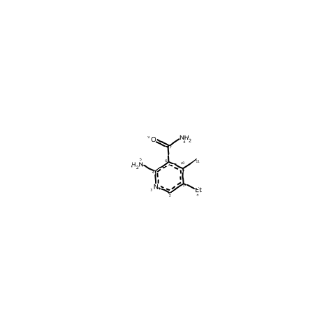 CCc1cnc(N)c(C(N)=O)c1C